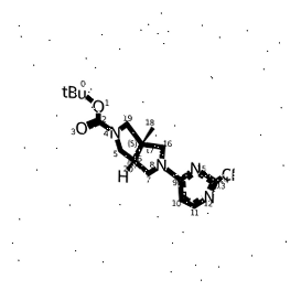 CC(C)(C)OC(=O)N1C[C@H]2CN(c3ccnc(Cl)n3)C[C@@]2(C)C1